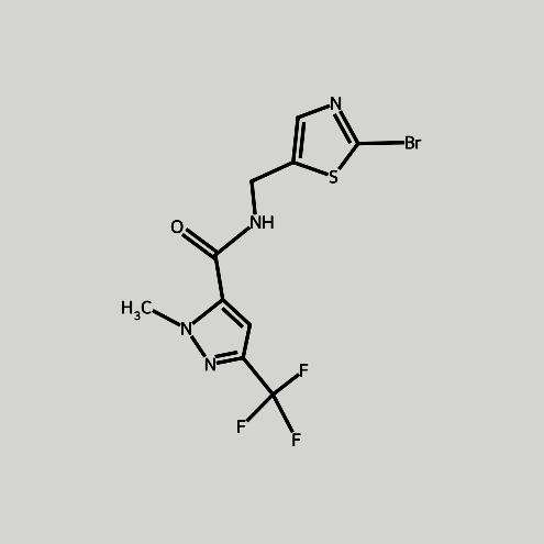 Cn1nc(C(F)(F)F)cc1C(=O)NCc1cnc(Br)s1